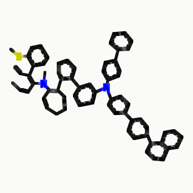 C=C/C(=C(\C=C/C)N(C)C1=C(c2ccccc2-c2cccc(N(c3ccc(-c4ccccc4)cc3)c3ccc(-c4ccc(-c5cccc6ccccc56)cc4)cc3)c2)C=CCC=C1)c1ccccc1SC